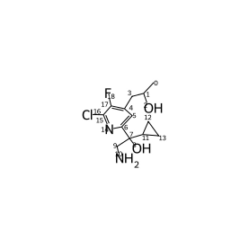 CC(O)Cc1cc(C(O)(CN)C2CC2)nc(Cl)c1F